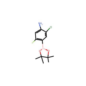 CC1(C)OB(c2cc(Cl)c(N)cc2F)OC1(C)C